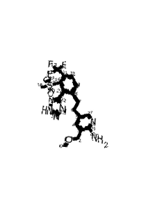 COCc1cc(CCc2ccc(C(F)(F)F)c(S(C)(=O)=O)c2-c2nn[nH]n2)cnc1N